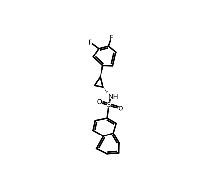 O=S(=O)(N[C@@H]1C[C@H]1c1ccc(F)c(F)c1)c1ccc2ccccc2c1